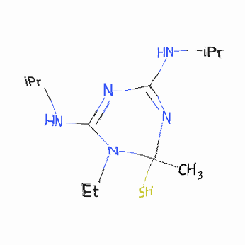 CCN1C(NC(C)C)=NC(NC(C)C)=NC1(C)S